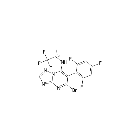 C[C@H](Nc1c(-c2c(F)cc(F)cc2F)c(Br)nc2ncnn12)C(F)(F)F